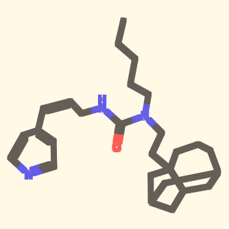 CCCCCN(CCC12CCCC3CC(CC1C3)C2)C(=O)NC/C=C\c1ccncc1